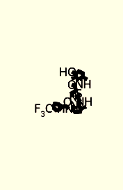 Cc1ccc(NC(=O)c2ccc(C(F)(F)F)cc2)nc1Nc1ncc(C(=O)Nc2c(C)ccc(O)c2C)s1